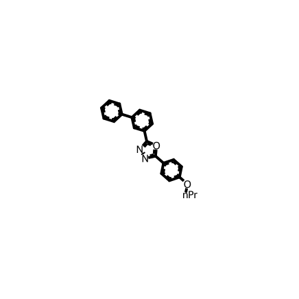 [CH2]CCOc1ccc(-c2nnc(-c3cccc(-c4ccccc4)c3)o2)cc1